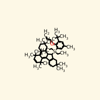 C=CCOc1c(C(C)(C)C)cc(C)cc1[Si](CC)(CC)C1C2=C(CCC(C)(C)C2)C2=C3C(=C4CCC(C)(C)CC4C21)C(C)(C)C=CC3(C)C